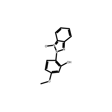 COc1ccc(-n2nc3ccccc3[n+]2[O-])c(O)c1